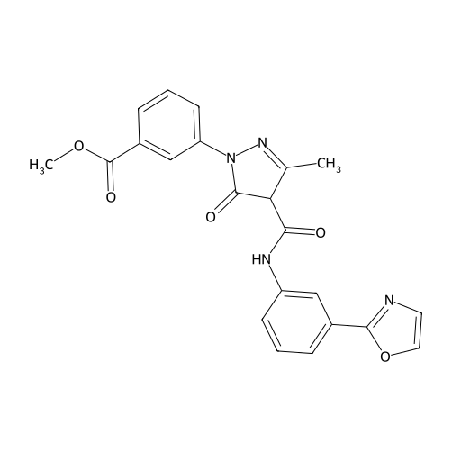 COC(=O)c1cccc(N2N=C(C)C(C(=O)Nc3cccc(-c4ncco4)c3)C2=O)c1